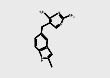 Cc1cc2cc(Cc3cnc(N)nc3N)ccc2[nH]1